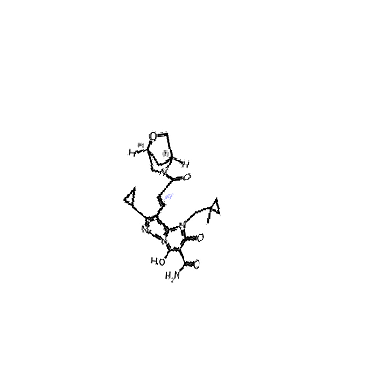 CC1(Cn2c(=O)c(C(N)=O)c(O)n3nc(C4CC4)c(/C=C/C(=O)N4C[C@H]5C[C@@H]4CO5)c23)CC1